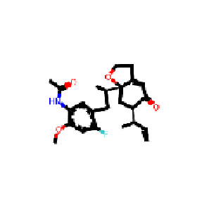 C=CC(C)[C@H]1C[C@]2(C(C)Cc3cc(NC(C)=O)c(OC)cc3F)OCCC2=CC1=O